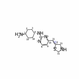 N[C@H]1CC[C@H](Nc2nccc(/C=C3/CNCS3)n2)CC1